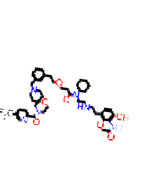 O=C1COc2c(CCNCCN(C(=O)CCOCCc3cccc(CN4CCC5(CC4)CN(C(=O)c4ccc(C(F)(F)F)cn4)CCO5)c3)C3CCCCC3)ccc(O)c2N1